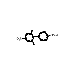 CCCCCc1ccc(-c2c(F)cc([N+](=O)[O-])cc2F)cc1